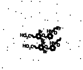 CC(C)CC(=O)Nc1cccc(COc2c(Br)cc(CCC(=O)O)cc2Br)c1.CC=CC(=O)Nc1cccc(COc2c(Br)cc(CCC(=O)O)cc2Br)c1